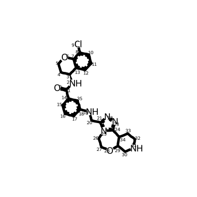 O=C(N[C@H]1CCOc2c(Cl)cccc21)c1cccc(NCc2nnc3n2CCOC2CNCCC32)c1